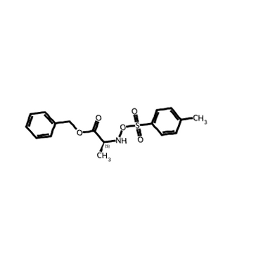 Cc1ccc(S(=O)(=O)ON[C@@H](C)C(=O)OCc2ccccc2)cc1